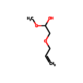 C=CCOCC(O)OC